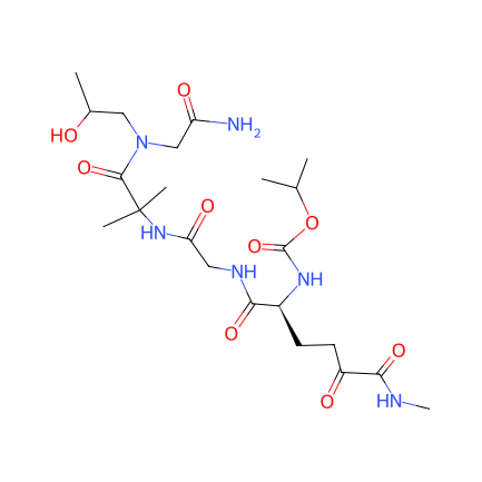 CNC(=O)C(=O)CC[C@H](NC(=O)OC(C)C)C(=O)NCC(=O)NC(C)(C)C(=O)N(CC(N)=O)CC(C)O